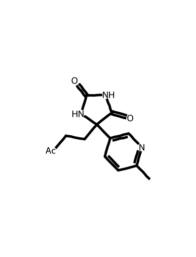 CC(=O)CCC1(c2ccc(C)nc2)NC(=O)NC1=O